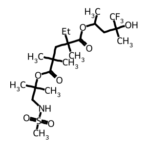 CCC(C)(CC(C)(C)C(=O)OC(C)(C)CNS(C)(=O)=O)C(=O)OC(C)CC(C)(O)C(F)(F)F